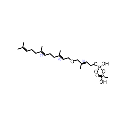 CC(C)=CCC/C(C)=C/CC/C(C)=C/COC/C(C)=C/COP(=O)(O)OP(C)(=O)O